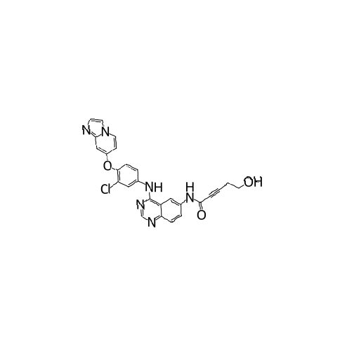 O=C(C#CCCO)Nc1ccc2ncnc(Nc3ccc(Oc4ccn5ccnc5c4)c(Cl)c3)c2c1